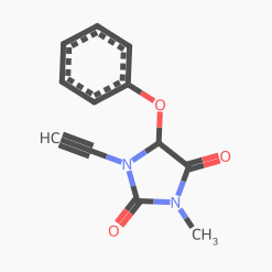 C#CN1C(=O)N(C)C(=O)C1Oc1ccccc1